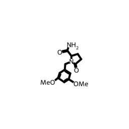 COc1cc(CN2C(=O)CCC2C(N)=O)cc(OC)c1